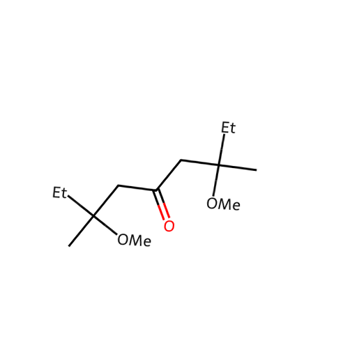 CCC(C)(CC(=O)CC(C)(CC)OC)OC